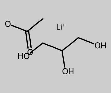 CC(=O)[O-].OCC(O)CO.[Li+]